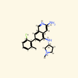 Cc1cccc(F)c1-c1cc(N[C@@H]2CCN(C)C2)c2cc(N)ncc2c1